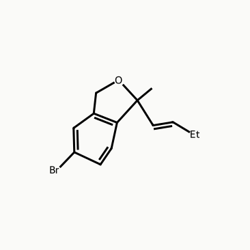 CCC=CC1(C)OCc2cc(Br)ccc21